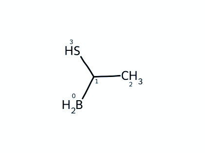 BC(C)S